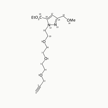 C#CCOCCOCCOCCn1nc(COC)cc1C(=O)OCC